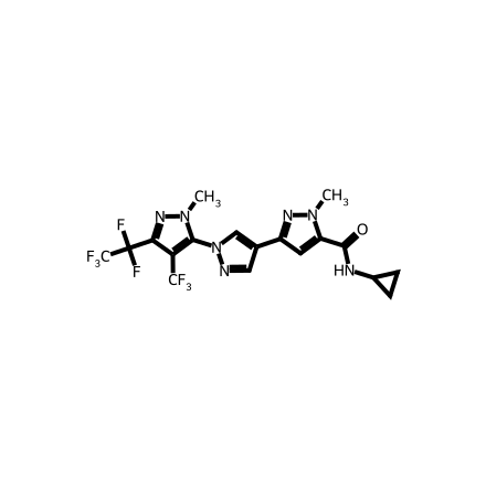 Cn1nc(-c2cnn(-c3c(C(F)(F)F)c(C(F)(F)C(F)(F)F)nn3C)c2)cc1C(=O)NC1CC1